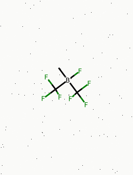 C[B-](F)(C(F)(F)F)C(F)(F)F